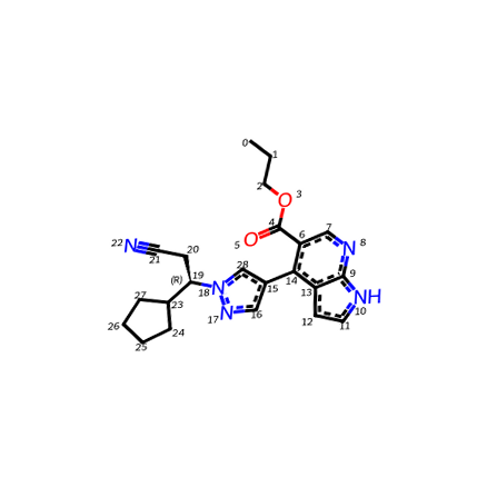 CCCOC(=O)c1cnc2[nH]ccc2c1-c1cnn([C@H](CC#N)C2CCCC2)c1